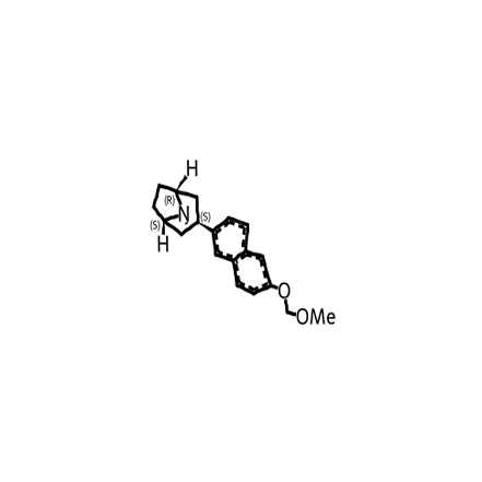 COCOc1ccc2cc([C@@H]3C[C@H]4CC[C@@H](C3)N4C)ccc2c1